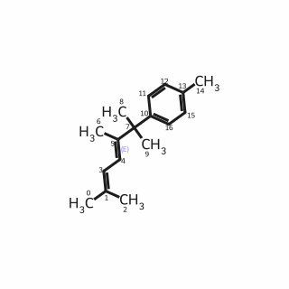 CC(C)=C/C=C(\C)C(C)(C)c1ccc(C)cc1